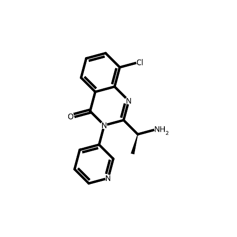 C[C@H](N)c1nc2c(Cl)cccc2c(=O)n1-c1cccnc1